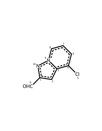 O=Cc1cc2c(Cl)cccn2n1